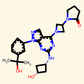 CC(C)(O)c1cccc(-n2ncc3c(N4CC(N5CCCC5=O)C4)nc(N[C@H]4C[C@@H](O)C4)nc32)c1